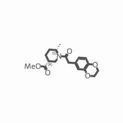 COC(=O)[C@@H]1CC[C@H](C)N(C(=O)Cc2ccc3c(c2)OCCO3)C1